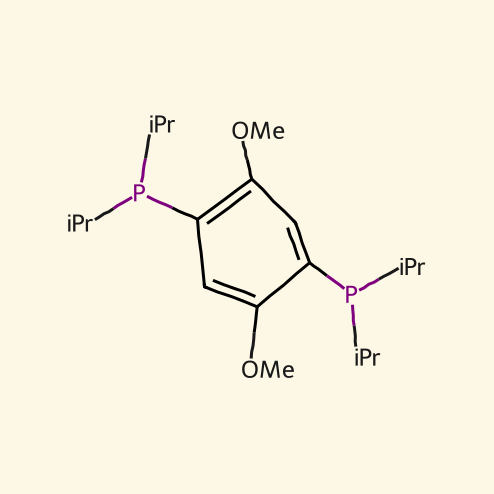 COc1cc(P(C(C)C)C(C)C)c(OC)cc1P(C(C)C)C(C)C